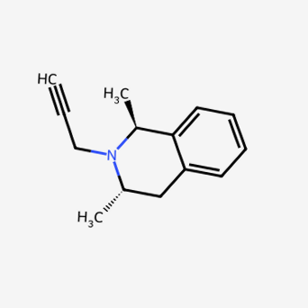 C#CCN1[C@@H](C)Cc2ccccc2[C@@H]1C